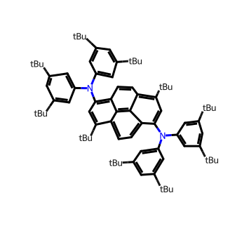 CC(C)(C)c1cc(N(c2cc(C(C)(C)C)cc(C(C)(C)C)c2)c2cc(C(C)(C)C)c3ccc4c(N(c5cc(C(C)(C)C)cc(C(C)(C)C)c5)c5cc(C(C)(C)C)cc(C(C)(C)C)c5)cc(C(C)(C)C)c5ccc2c3c45)cc(C(C)(C)C)c1